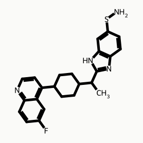 CC(c1nc2ccc(SN)cc2[nH]1)C1CCC(c2ccnc3ccc(F)cc23)CC1